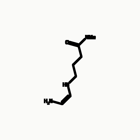 CNC(=O)CCCN/C=C\N